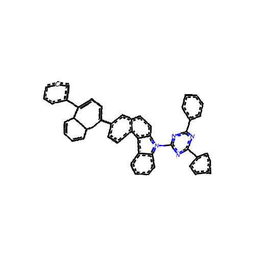 C1=CC2C(c3ccccc3)=CC=C(c3ccc4c(ccc5c4c4ccccc4n5-c4nc(-c5ccccc5)nc(-c5ccccc5)n4)c3)C2C=C1